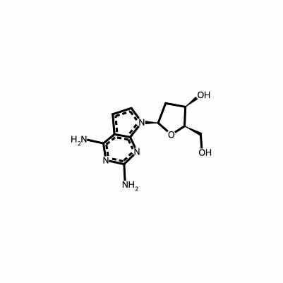 Nc1nc(N)c2ccn([C@H]3C[C@@H](O)[C@@H](CO)O3)c2n1